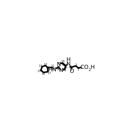 O=C(O)CCC(=O)Nc1cnc(NCC2CCCCC2)nc1